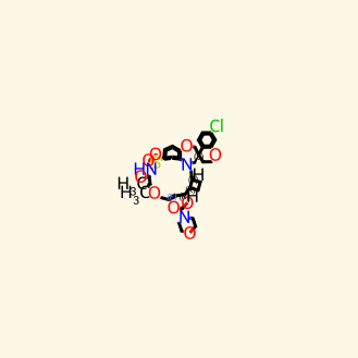 CC1(C)OC/C=C/[C@H](OC(=O)N2CCOCC2)[C@@H]2CC[C@H]2CN2C[C@@]3(CCOc4cc(Cl)ccc43)COc3ccc(cc32)S(=O)(=O)NC1=O